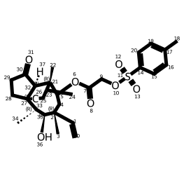 C=C[C@@]1(C)CC(OC(=O)COS(=O)(=O)c2ccc(C)cc2)[C@]2(C)C(C)CC[C@]3(CCC(=O)[C@@H]23)[C@@H](C)[C@@H]1O